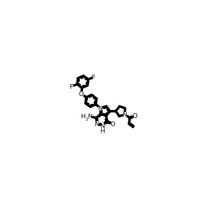 C=CC(=O)N1CCC(c2cn(-c3ccc(Oc4cc(F)ccc4F)cc3)c3c(N)n[nH]c(=O)c23)C1